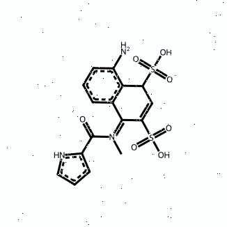 C[N+](C(=O)c1ccc[nH]1)=C1C(S(=O)(=O)O)=CC(S(=O)(=O)O)c2c(N)cccc21